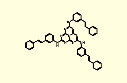 C(=Cc1cccc(NC2=NC3=NC(Nc4cccc(C=Cc5ccccc5)c4)=NC4=NC(Nc5cccc(C=Cc6ccccc6)c5)=NC(=N2)N34)c1)c1ccccc1